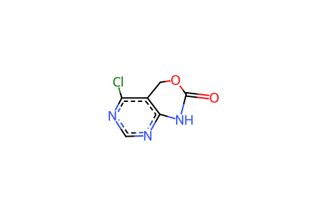 O=C1Nc2ncnc(Cl)c2CO1